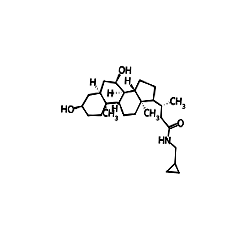 C[C@H](CC(=O)NCC1CC1)C1CC[C@H]2[C@@H]3[C@H](O)C[C@@H]4C[C@H](O)CC[C@]4(C)[C@H]3CC[C@]12C